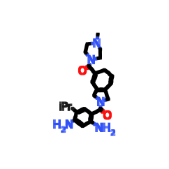 CC(C)c1cc(C(=O)N2CC3=C(C=C(C(=O)N4CCN(C)CC4)CC=C3)C2)c(N)cc1N